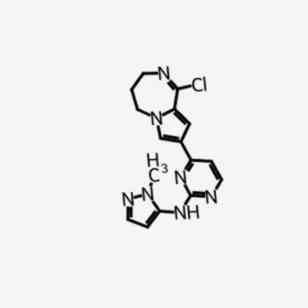 Cn1nccc1Nc1nccc(-c2cc3n(c2)CCCN=C3Cl)n1